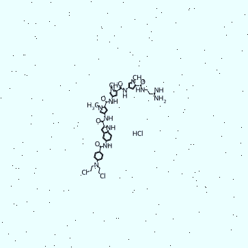 Cl.Cn1cc(NC(=O)c2cc(NC(=O)c3cc(NC(=O)c4cc5cc(NC(=O)c6ccc(N(CCCl)CCCl)cc6)ccc5[nH]4)cn3C)cn2C)cc1C(=O)NCCC(=N)N